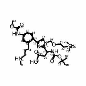 CNCCCc1cc(NC(=O)OC)ccc1-c1cn(COCC[Si](C)(C)C)c(C(CC(=O)O)NC(=O)OC(C)(C)C)n1